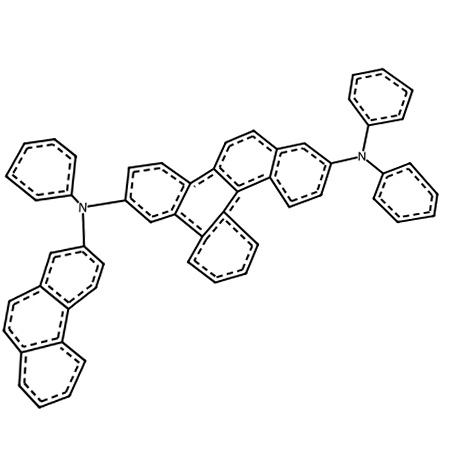 c1ccc(N(c2ccccc2)c2ccc3c(ccc4c5ccc(N(c6ccccc6)c6ccc7c(ccc8ccccc87)c6)cc5c5ccccc5c34)c2)cc1